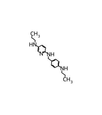 CCCNc1ccc(CNc2ccc(NCCC)cn2)cc1